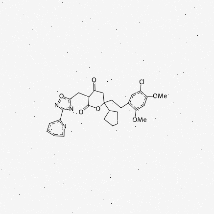 COc1cc(OC)c(CCC2(C3CCCC3)CC(=O)C(Cc3nc(-c4ccccn4)no3)C(=O)O2)cc1Cl